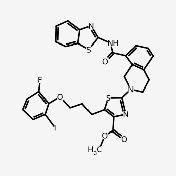 COC(=O)c1nc(N2CCc3cccc(C(=O)Nc4nc5ccccc5s4)c3C2)sc1CCCOc1c(F)cccc1I